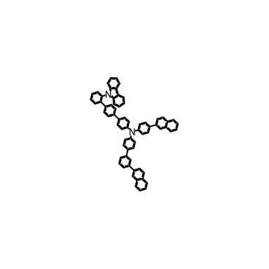 c1cc(-c2ccc(N(c3ccc(-c4ccc(-c5ccccc5-n5c6ccccc6c6ccccc65)cc4)cc3)c3ccc(-c4ccc5ccccc5c4)cc3)cc2)cc(-c2ccc3ccccc3c2)c1